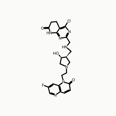 O=C1CCc2c(Cl)nc(CNC[C@H]3CN(CCn4c(=O)ccc5ncc(F)cc54)C[C@H]3O)nc2N1